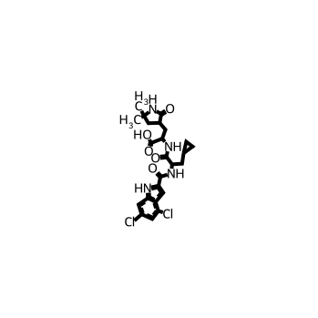 CC1(C)CC(CC(NC(=O)C(CC2CC2)NC(=O)c2cc3c(Cl)cc(Cl)cc3[nH]2)C(=O)O)C(=O)N1